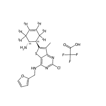 O=C(O)C(F)(F)F.[2H]C1=C([2H])C([2H])([2H])[C@@H](c2sc3c(NCc4ccco4)nc(Cl)nc3c2C)[C@H](N)C1([2H])[2H]